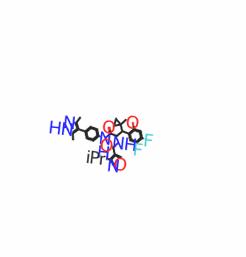 Cc1n[nH]c(C)c1-c1ccc(NC(=O)[C@@H](NC(=O)c2conc2C(C)C)C2c3cc(F)c(F)cc3OCC23CC3)cc1